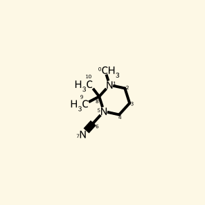 CN1CCCN(C#N)C1(C)C